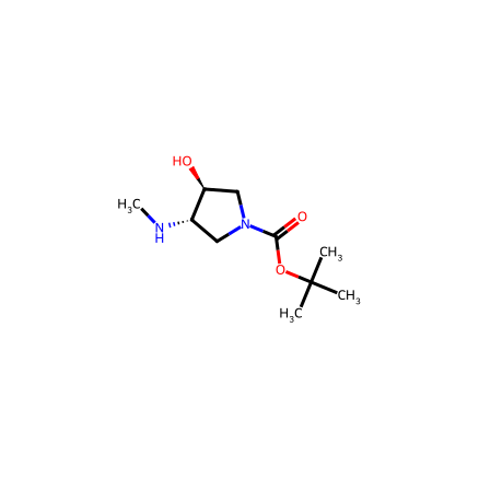 CN[C@H]1CN(C(=O)OC(C)(C)C)C[C@@H]1O